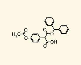 CC(=O)Oc1ccc(C(C(=O)O)C(=O)OC(c2ccccc2)c2ccccc2)cc1